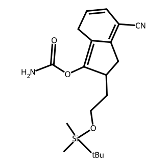 CC(C)(C)[Si](C)(C)OCCC1CC2=C(C#N)C=CCC2=C1OC(N)=O